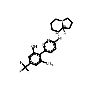 Cc1cc(C(F)(F)F)cc(O)c1-c1ccc(N[C@@H]2CCCN3CCC[C@H]23)nn1